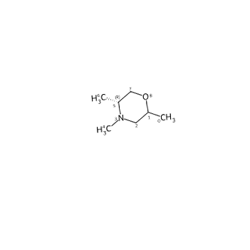 CC1CN(C)[C@H](C)CO1